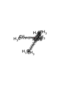 CC(C)CCCCCCCCCCCCCCC(=O)c1ccc([O][Ti](=[O])[O]C(C)C)c(C(C)(C)c2ccccc2)c1C(=O)CCCCCCCCCCCCCCC(C)C